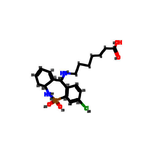 O=C(O)CCCCCCNC1C2=CC=CCC2NS(=O)(=O)c2cc(Cl)ccc21